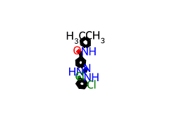 CC1(C)CCC(NC(=O)c2ccc3[nH]c(Nc4c(Cl)cccc4Cl)nc3c2)CC1